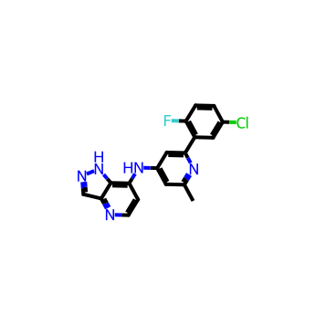 Cc1cc(Nc2ccnc3cn[nH]c23)cc(-c2cc(Cl)ccc2F)n1